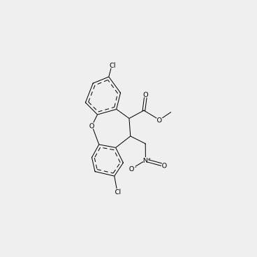 COC(=O)C1c2cc(Cl)ccc2Oc2ccc(Cl)cc2C1C[N+](=O)[O-]